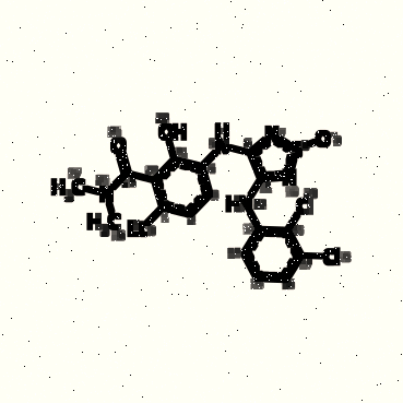 CCc1ccc(Nc2n[s+]([O-])nc2Nc2cccc(Cl)c2Cl)c(O)c1C(=O)N(C)C